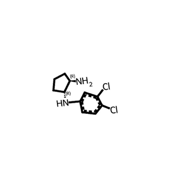 N[C@@H]1CCC[C@H]1Nc1ccc(Cl)c(Cl)c1